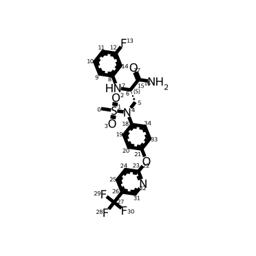 CS(=O)(=O)N(C[C@H](Nc1cccc(F)c1)C(N)=O)c1ccc(Oc2ccc(C(F)(F)F)cn2)cc1